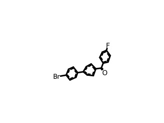 O=C(c1ccc(F)cc1)c1ccc(-c2ccc(Br)cc2)cc1